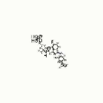 CCC(CC)(CCCOP(=O)(O)O)NC(=O)CC1=C(C)/C(=C\c2ccc([S+](C)[O-])cc2)c2ccc(F)cc21